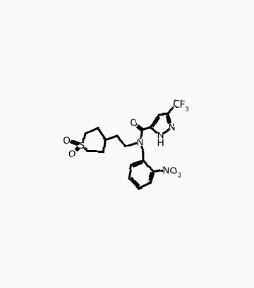 O=C(c1cc(C(F)(F)F)n[nH]1)N(CCC1CCS(=O)(=O)CC1)Cc1ccccc1[N+](=O)[O-]